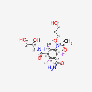 CC(=O)N(OCCCO)c1c(I)c(C(N)=O)c(I)c(C(=O)NCC(O)CO)c1I